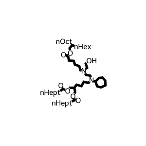 CCCCCCCCC(CCCCCC)COC(=O)CCCCCN(CCO)CCN(CCCCC(COC(=O)CCCCCCC)COC(=O)CCCCCCC)C1CCCCCC1